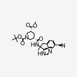 COC(=O)[C@@H]1C[C@H](C(=O)NC(C)(Cc2ccc(C#N)cc2)c2cnc[nH]2)CN(C(=O)OC(C)(C)C)C1